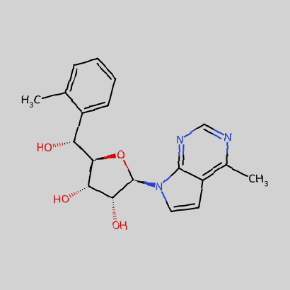 Cc1ccccc1[C@@H](O)[C@H]1O[C@@H](n2ccc3c(C)ncnc32)[C@H](O)[C@@H]1O